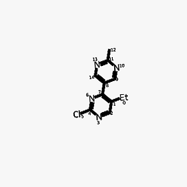 CCc1cnc(Cl)nc1-c1cnc(C)nc1